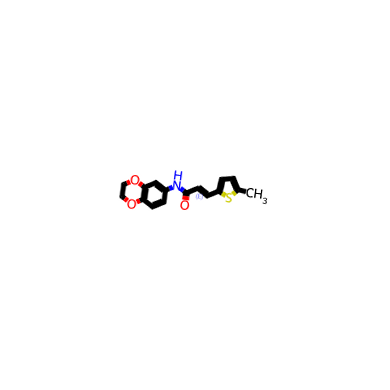 Cc1ccc(/C=C/C(=O)Nc2ccc3c(c2)OCCO3)s1